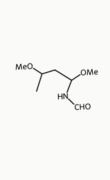 COC(C)CC(NC=O)OC